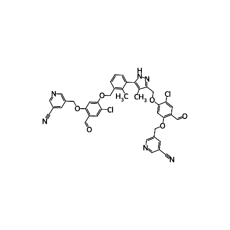 Cc1c(COc2cc(OCc3cncc(C#N)c3)c(C=O)cc2Cl)cccc1-c1[nH]nc(COc2cc(OCc3cncc(C#N)c3)c(C=O)cc2Cl)c1C